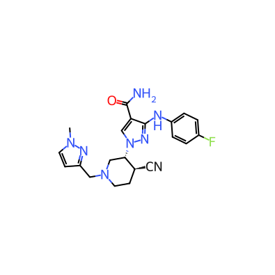 Cn1ccc(CN2CC[C@H](C#N)[C@@H](n3cc(C(N)=O)c(Nc4ccc(F)cc4)n3)C2)n1